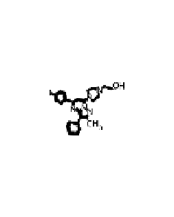 Cc1nn2c(N3CCN(CCO)CC3)cc(-c3ccc(I)cc3)nc2c1-c1ccccc1